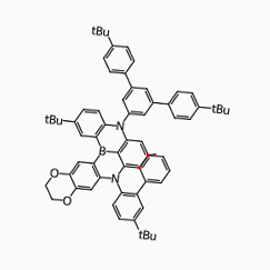 Cc1cc2c3c(c1)N(c1ccc(C(C)(C)C)cc1-c1ccccc1)c1cc4c(cc1B3c1cc(C(C)(C)C)ccc1N2c1cc(-c2ccc(C(C)(C)C)cc2)cc(-c2ccc(C(C)(C)C)cc2)c1)OCCO4